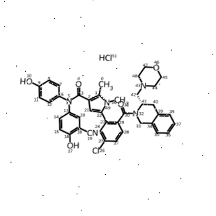 Cc1c(C(=O)N(c2ccc(O)cc2)c2ccc(O)c(C#N)c2)cc(-c2cc(Cl)ccc2C(=O)N2Cc3ccccc3C[C@H]2CN2CCOCC2)n1C.Cl